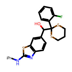 CC(C)Nc1nc2ccc(C(O)C3(c4ccccc4F)SCCCS3)cc2s1